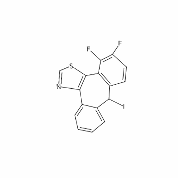 Fc1ccc2c(c1F)-c1scnc1-c1ccccc1C2I